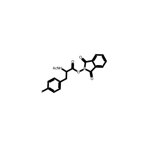 CC(=O)NC(Cc1ccc(I)cc1)C(=O)ON1C(=O)c2ccccc2C1=O